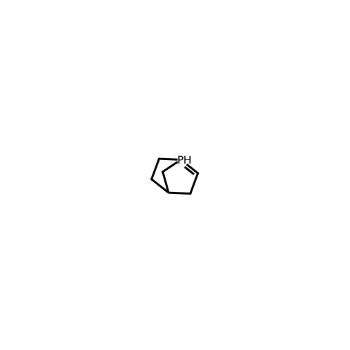 C1=[PH]2CCC(C1)C2